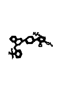 Cc1nn(C)c(N2CCC(N3Cc4ccccc4N(Cc4ccccc4C(F)(F)F)C3)CC2)c1Cl